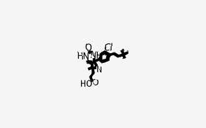 CC(C)(C)CCc1ccc(C2(C#N)NC(=O)NC=C2C(C)(C)CCC(=O)O)cc1Cl